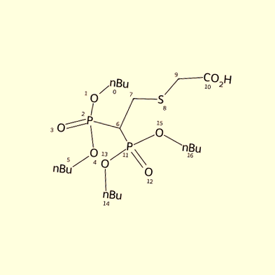 CCCCOP(=O)(OCCCC)C(CSCC(=O)O)P(=O)(OCCCC)OCCCC